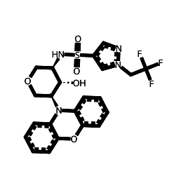 O=S(=O)(N[C@@H]1COC[C@H](N2c3ccccc3Oc3ccccc32)[C@H]1O)c1cnn(CC(F)(F)F)c1